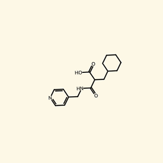 O=C(O)C(CC1CCCCC1)C(=O)NCc1ccncc1